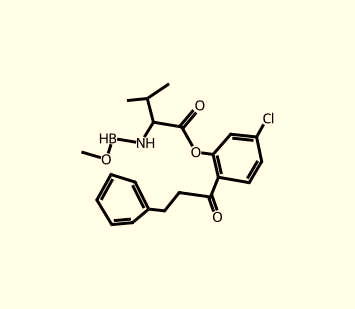 COBNC(C(=O)Oc1cc(Cl)ccc1C(=O)CCc1ccccc1)C(C)C